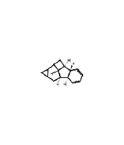 C1=C[C@@H]2[C@@H](C=C1)[C@@H]1CC3C4CC4C[C@H]2[C@H]31